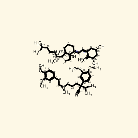 C=C1/C(=C\C=C2/CCC[C@]3(C)[C@@H]([C@H](C)CCCC(C)C)CC[C@@H]23)C[C@@H](O)C[C@@H]1O.COc1ccc(CCN(C)CCCC(C#N)(c2ccc(OC)c(OC)c2)C(C)C)cc1OC